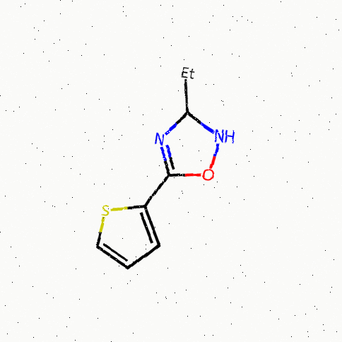 CCC1N=C(c2cccs2)ON1